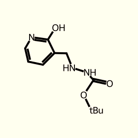 CC(C)(C)OC(=O)NNCc1cccnc1O